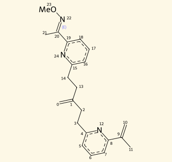 C=C(CCc1cccc(C(=C)C)n1)CCc1cccc(/C(C)=N/OC)n1